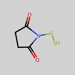 O=C1CCC(=O)N1SS